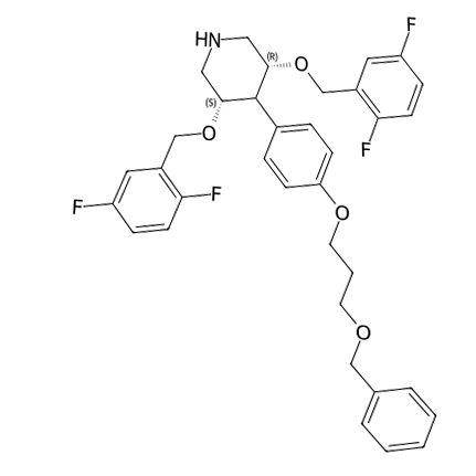 Fc1ccc(F)c(CO[C@H]2CNC[C@@H](OCc3cc(F)ccc3F)C2c2ccc(OCCCOCc3ccccc3)cc2)c1